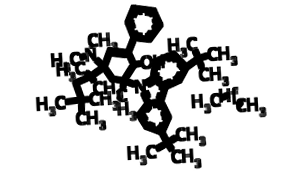 CN(C)C1(C(C)(C)CC(C)(C)C)C=C(c2ccccc2)C(O)C(C)(n2c3ccc(C(C)(C)C)cc3c3cc(C(C)(C)C)ccc32)C1.[CH3][Hf][CH3]